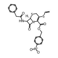 C=CSC1=C(C(=O)OCc2ccc([N+](=O)[O-])cc2)N2C(=O)C(NC(=O)Cc3ccccc3)[C@H]2SC1